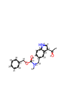 CC(=O)c1c[nH]c2ccc(CN(C)C(=O)OCc3ccccc3)cc12